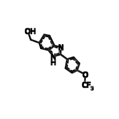 OCc1ccc2nc(-c3ccc(OC(F)(F)F)cc3)[nH]c2c1